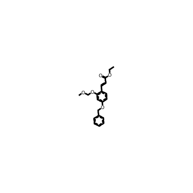 CCOC(=O)/C=C/c1ccc(OCc2ccccc2)cc1OCOC